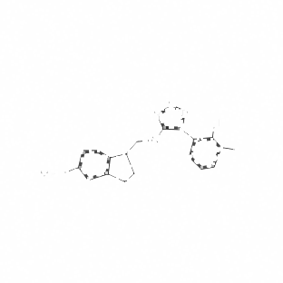 COc1ccc2c(c1)CCC2CNc1nnnn1-c1cccc(Cl)c1Cl